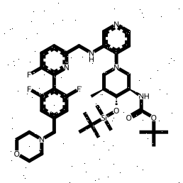 C[C@H]1CN(c2ccncc2NCc2ccc(F)c(-c3c(F)cc(CN4CCOCC4)cc3F)n2)C[C@@H](NC(=O)OC(C)(C)C)[C@@H]1O[Si](C)(C)C(C)(C)C